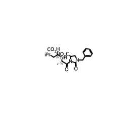 CC(C)C[C@H](N[C@@H](C)C(=O)N1C(=O)N(Cc2ccccc2)C[C@H]1C(=O)O)C(=O)O